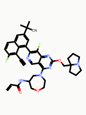 C#Cc1c(F)ccc2cc(C(C)(C)C#N)cc(-c3ncc4c(N5CCOCC(NC(=O)C=C)C5)nc(OCC56CCCN5CCC6)nc4c3F)c12